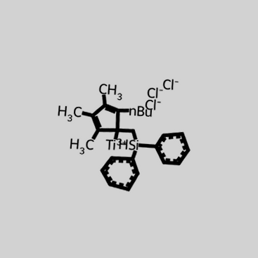 CCCCC1=C(C)C(C)=C(C)[C]1([Ti+3])C[SiH](c1ccccc1)c1ccccc1.[Cl-].[Cl-].[Cl-]